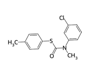 Cc1ccc(SC(=O)N(C)c2cccc(Cl)c2)cc1